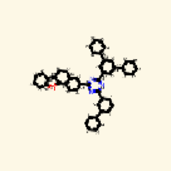 c1ccc(-c2cccc(-c3nc(-c4cc(-c5ccccc5)cc(-c5ccccc5)c4)nc(-c4ccc5c(ccc6c7ccccc7oc56)c4)n3)c2)cc1